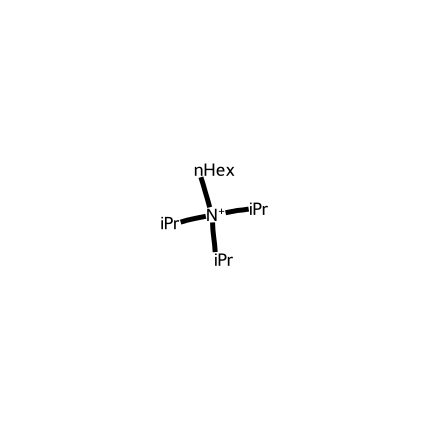 CCCCCC[N+](C(C)C)(C(C)C)C(C)C